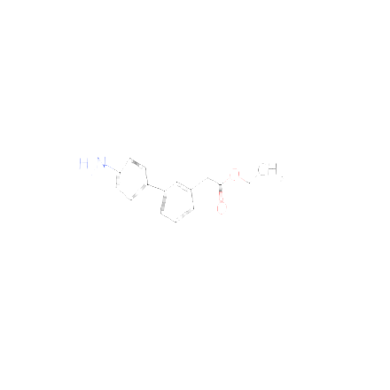 CCOC(=O)Cc1cccc(-c2ccc(N)cc2)c1